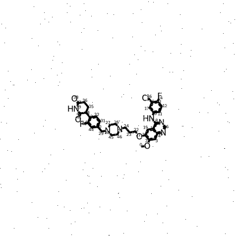 COc1cc2ncnc(Nc3ccc(F)c(Cl)c3)c2cc1OCCCN1CCN(Cc2ccc(C3CCC(=O)NC3=O)c(F)c2)CC1